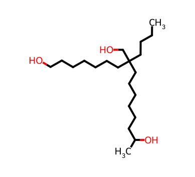 CCCCC(CO)(CCCCCCCO)CCCCCCC(C)O